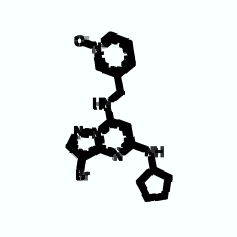 [O-][n+]1cccc(CNc2cc(NC3CCCC3)nc3c(Br)cnn23)c1